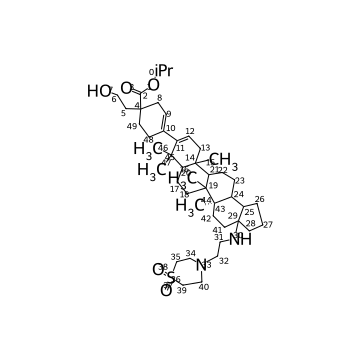 CC(C)OC(=O)C1(CCO)CC=C(C2=CCC3(C)C(CCC4(C)C3CCC3C5CCCC5(NCCN5CCS(=O)(=O)CC5)CC[C@]34C)C2(C)C)CC1